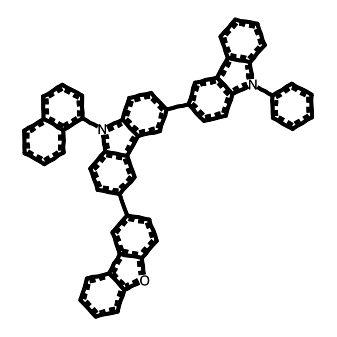 c1ccc(-n2c3ccccc3c3cc(-c4ccc5c(c4)c4cc(-c6ccc7oc8ccccc8c7c6)ccc4n5-c4cccc5ccccc45)ccc32)cc1